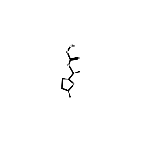 C[C@H](NC(=O)OC(C)(C)C)[C@@H]1CC[C@H](C)O1